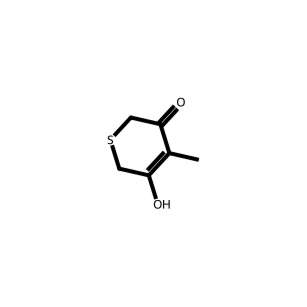 CC1=C(O)CSCC1=O